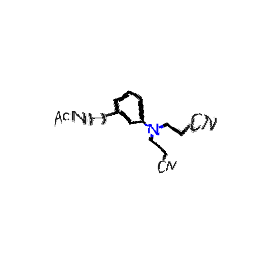 CC(=O)Nc1cccc(N(CCC#N)CCC#N)c1